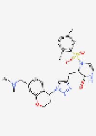 Cc1ccc(C)c(S(=O)(=O)N2C=CNC(=O)C2Cc2cn(C3CCOc4cc(CN(C)C(C)C)ccc43)nn2)c1